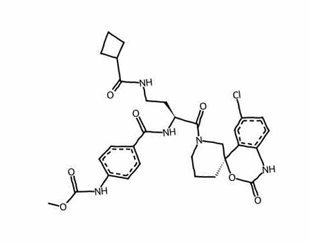 COC(=O)Nc1ccc(C(=O)N[C@@H](CCNC(=O)C2CCC2)C(=O)N2CCC[C@@]3(C2)OC(=O)Nc2ccc(Cl)cc23)cc1